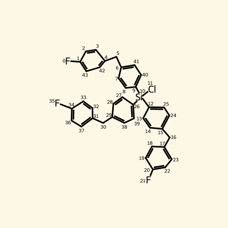 Fc1ccc(Cc2ccc([Si](Cl)(c3ccc(Cc4ccc(F)cc4)cc3)c3ccc(Cc4ccc(F)cc4)cc3)cc2)cc1